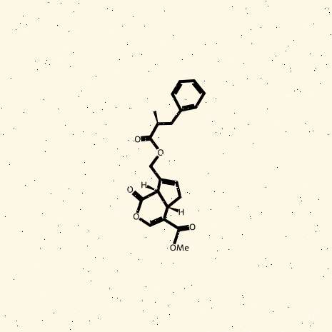 COC(=O)C1=COC(=O)[C@@H]2C(COC(=O)[C@@H](C)Cc3ccccc3)=CC[C@H]12